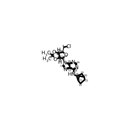 CC1(C)O[C@@H]2[C@H](O1)[C@@H](CCl)O[C@H]2n1cnc2c(NC3CC4CCC3C4)ncnc21